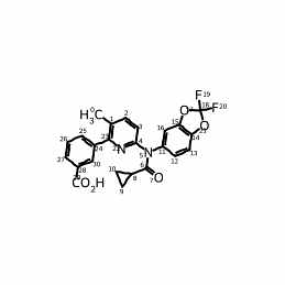 Cc1ccc(N(C(=O)C2CC2)c2ccc3c(c2)OC(F)(F)O3)nc1-c1cccc(C(=O)O)c1